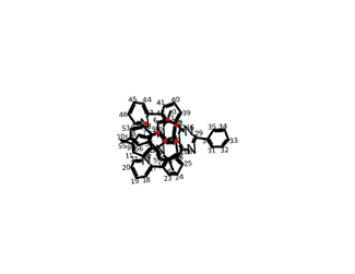 Cc1ccc2c(c1)c1cc(C)ccc1n2-c1c(-c2ccccn2)cccc1-c1nc(-c2ccccc2)nc(-c2cccc(-c3ccccn3)c2-n2c3ccc(C)cc3c3cc(C)ccc32)n1